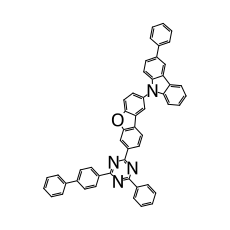 c1ccc(-c2ccc(-c3nc(-c4ccccc4)nc(-c4ccc5c(c4)oc4ccc(-n6c7ccccc7c7cc(-c8ccccc8)ccc76)cc45)n3)cc2)cc1